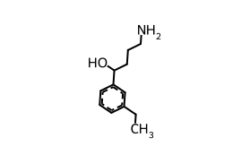 CCc1cccc(C(O)CCCN)c1